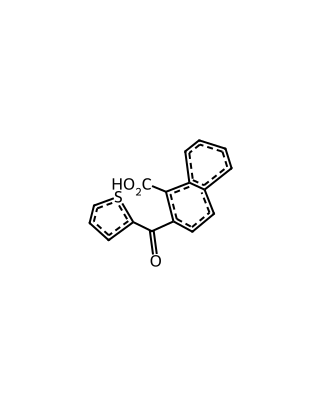 O=C(c1cccs1)c1ccc2ccccc2c1C(=O)O